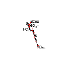 CCCCCCCCCCCCCCCCCCCCCCCCOC(=O)CCCCCCN(CCCCCCC(=O)O)CCCN(CCCO)CCCCCCC(=C=O)OCCCCCCCCCCCCCC